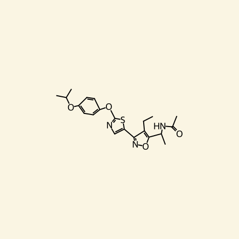 CCc1c(-c2cnc(Oc3ccc(OC(C)C)cc3)s2)noc1C(C)NC(C)=O